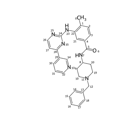 Cc1ccc(C(=O)NC2CCN(Cc3ccccc3)CC2)cc1Nc1nccc(-c2cccnc2)n1